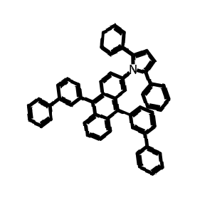 C1=CC(c2ccc(-c3ccccc3)n2-c2ccc3c(-c4cccc(-c5ccccc5)c4)c4ccccc4c(-c4cccc(-c5ccccc5)c4)c3c2)=CCC1